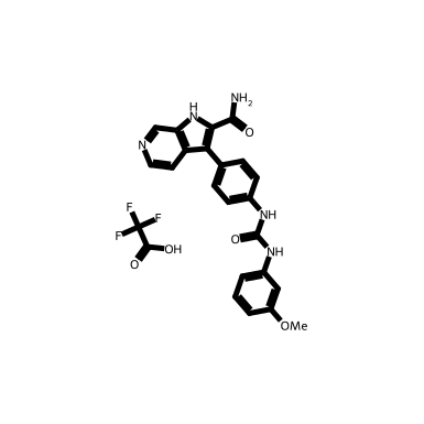 COc1cccc(NC(=O)Nc2ccc(-c3c(C(N)=O)[nH]c4cnccc34)cc2)c1.O=C(O)C(F)(F)F